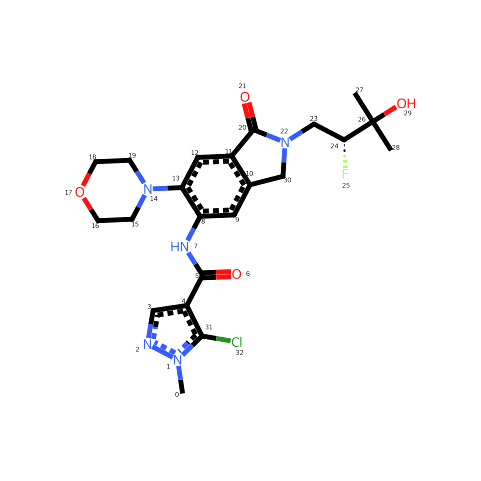 Cn1ncc(C(=O)Nc2cc3c(cc2N2CCOCC2)C(=O)N(C[C@@H](F)C(C)(C)O)C3)c1Cl